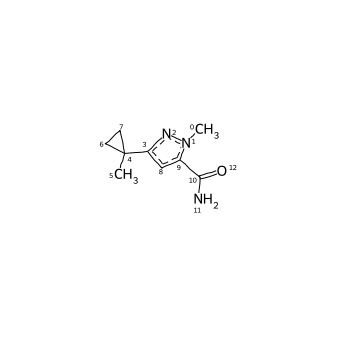 Cn1nc(C2(C)CC2)cc1C(N)=O